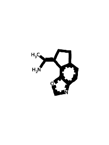 CC(N)=C1CCc2ccc3ncoc3c21